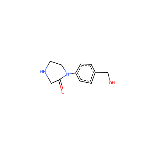 O=C1CNCCN1c1ccc(CO)cc1